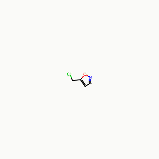 ClCc1c[c]no1